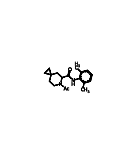 CC(=O)N1CCC2(CC2)CC1C(=O)Nc1c(C)cccc1C